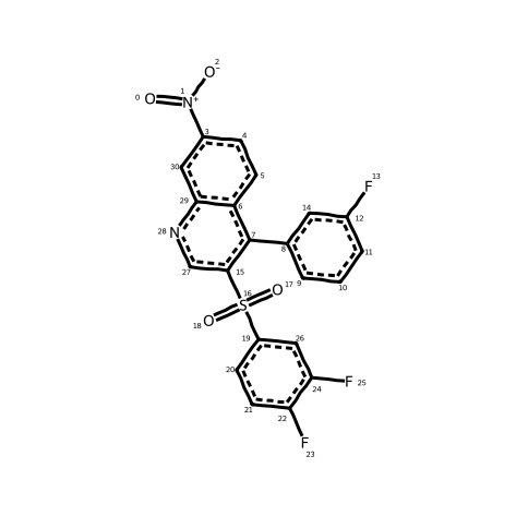 O=[N+]([O-])c1ccc2c(-c3cccc(F)c3)c(S(=O)(=O)c3ccc(F)c(F)c3)cnc2c1